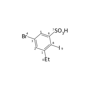 CCc1cc(Br)cc(S(=O)(=O)O)c1I